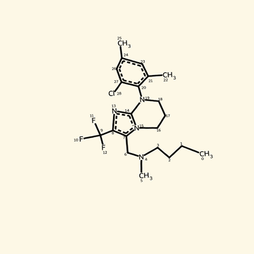 CCCCN(C)Cc1c(C(F)(F)F)nc2n1CCCN2c1c(C)cc(C)cc1Cl